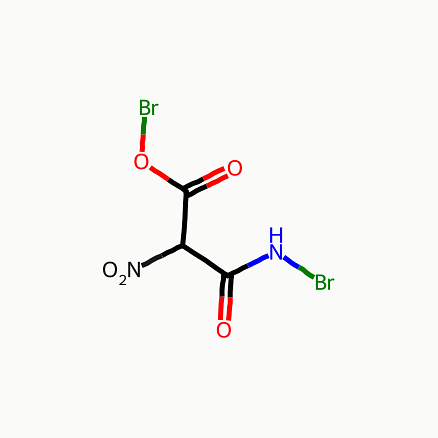 O=C(NBr)C(C(=O)OBr)[N+](=O)[O-]